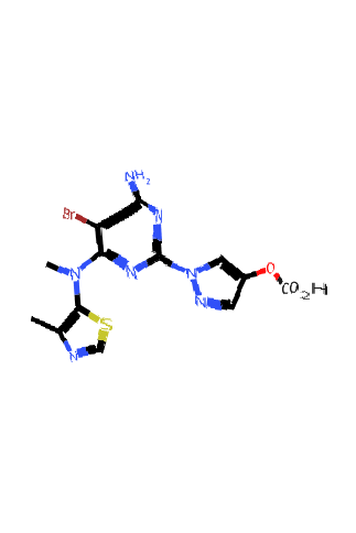 Cc1ncsc1N(C)c1nc(-n2cc(OC(=O)O)cn2)nc(N)c1Br